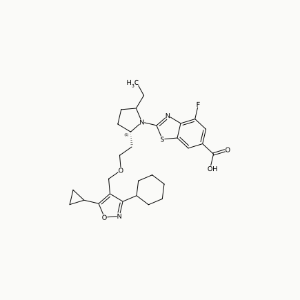 CCC1CC[C@@H](CCOCc2c(C3CCCCC3)noc2C2CC2)N1c1nc2c(F)cc(C(=O)O)cc2s1